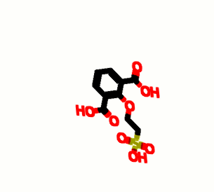 O=C(O)c1cccc(C(=O)O)c1OCCS(=O)(=O)O